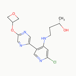 C[C@H](O)CCNc1cc(Cl)ncc1-c1cnc(OC2COC2)cn1